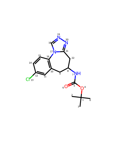 CC(C)(C)OC(=O)NC1Cc2cc(Cl)ccc2-n2cnnc2C1